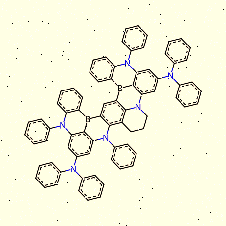 c1ccc(N(c2ccccc2)c2cc3c4c(c2)N(c2ccccc2)c2ccccc2B4c2cc4c(c5c2N3CCC5)N(c2ccccc2)c2cc(N(c3ccccc3)c3ccccc3)cc3c2B4c2ccccc2N3c2ccccc2)cc1